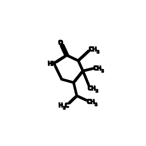 CC(C)C1CNC(=O)C(C)C1(C)C